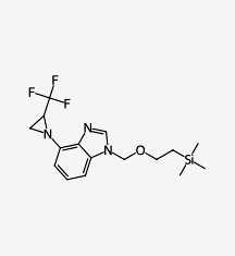 C[Si](C)(C)CCOCn1cnc2c(N3CC3C(F)(F)F)cccc21